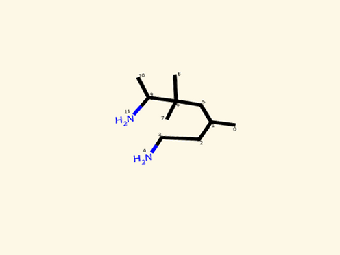 CC(CCN)CC(C)(C)C(C)N